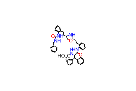 O=C(O)N[C@H](C(=O)Nc1ccccc1CC[C@@H]1CN[C@H](CCc2ccccc2NC(=O)NCc2ccccc2)CO1)C(c1ccccc1)c1ccccc1